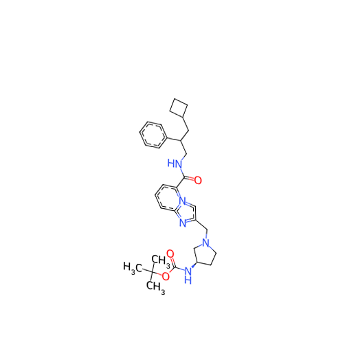 CC(C)(C)OC(=O)N[C@@H]1CCN(Cc2cn3c(C(=O)NCC(CC4CCC4)c4ccccc4)cccc3n2)C1